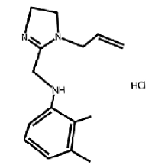 C=CCN1CCN=C1CNc1cccc(C)c1C.Cl